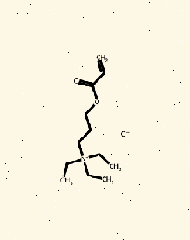 C=CC(=O)OCCC[N+](CC)(CC)CC.[Cl-]